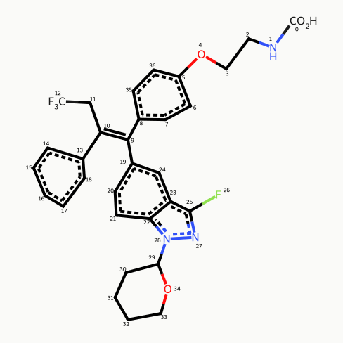 O=C(O)NCCOc1ccc(C(=C(CC(F)(F)F)c2ccccc2)c2ccc3c(c2)c(F)nn3C2CCCCO2)cc1